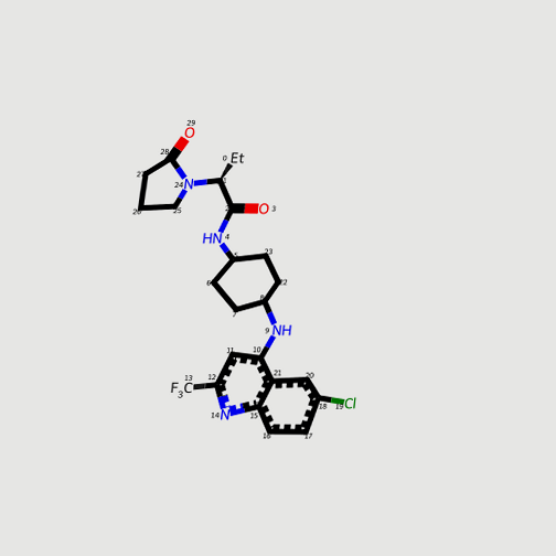 CC[C@@H](C(=O)NC1CCC(Nc2cc(C(F)(F)F)nc3ccc(Cl)cc23)CC1)N1CCCC1=O